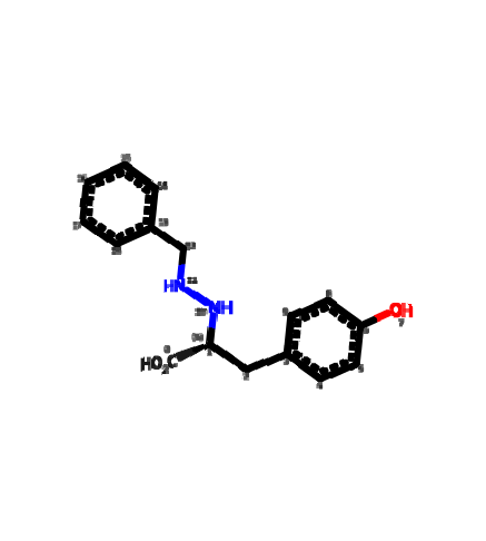 O=C(O)[C@H](Cc1ccc(O)cc1)NNCc1ccccc1